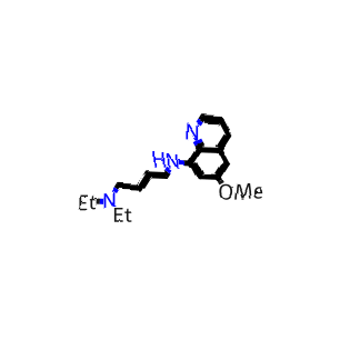 CCN(CC)CCCCNc1cc(OC)cc2cccnc12